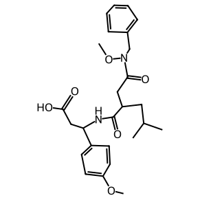 COc1ccc(C(CC(=O)O)NC(=O)C(CC(=O)N(Cc2ccccc2)OC)CC(C)C)cc1